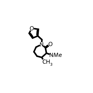 CNC1C(=O)N(Cc2ccoc2)CCCC1C